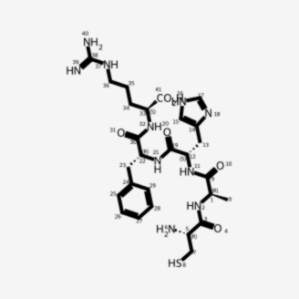 C[C@@H](NC(=O)[C@@H](N)CS)C(=O)N[C@@H](Cc1c[nH]cn1)C(=O)N[C@H](Cc1ccccc1)C(=O)N[C@@H](CCCNC(=N)N)C(=O)O